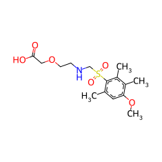 COc1cc(C)c(S(=O)(=O)CNCCOCC(=O)O)c(C)c1C